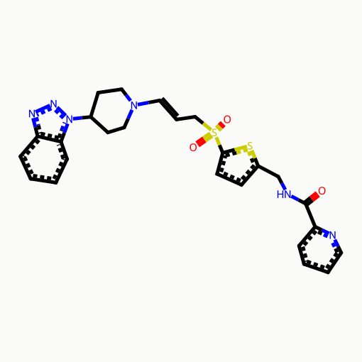 O=C(NCc1ccc(S(=O)(=O)CC=CN2CCC(n3nnc4ccccc43)CC2)s1)c1ccccn1